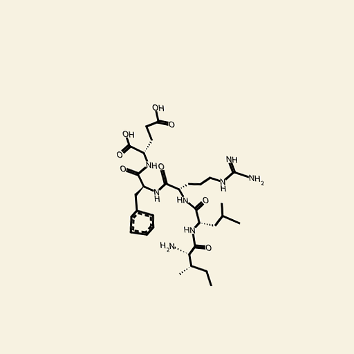 CC[C@H](C)[C@H](N)C(=O)N[C@@H](CC(C)C)C(=O)N[C@@H](CCCNC(=N)N)C(=O)N[C@@H](Cc1ccccc1)C(=O)N[C@@H](CCC(=O)O)C(=O)O